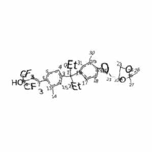 CCC(CC)(c1ccc(C=CC(O)(C(F)(F)F)C(F)(F)F)c(C)c1)c1ccc(OC[C@@H]2COC(C)(C)O2)c(C)c1